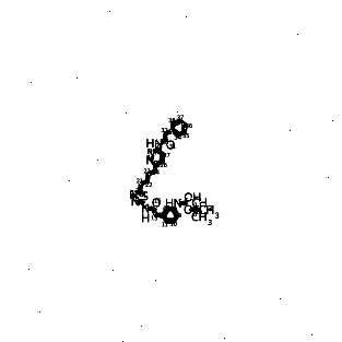 CC(C)(C)OC(O)Nc1cccc(CC(=O)Nc2nnc(CCCCc3ccc(NC(=O)Cc4ccccc4)nn3)s2)c1